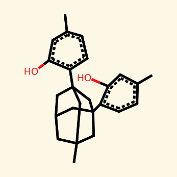 Cc1ccc(C23CC4CC(C)(C2)CC(c2ccc(C)cc2O)(C4)C3)c(O)c1